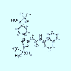 CC(C)(C)c1cc(NC(=O)Nc2cccc3ccccc23)n(-c2ccc(C(O)C(F)(F)F)cc2)n1